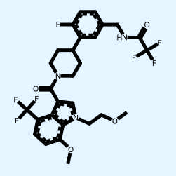 COCCn1cc(C(=O)N2CCC(c3cc(CNC(=O)C(F)(F)F)ccc3F)CC2)c2c(C(F)(F)F)ccc(OC)c21